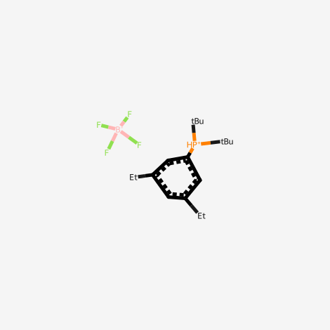 CCc1cc(CC)cc([PH+](C(C)(C)C)C(C)(C)C)c1.F[B-](F)(F)F